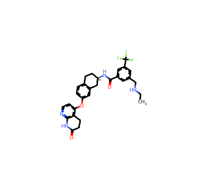 CCNCc1cc(C(=O)N[C@@H]2CCc3ccc(Oc4ccnc5c4CCC(=O)N5)cc3C2)cc(C(F)(F)F)c1